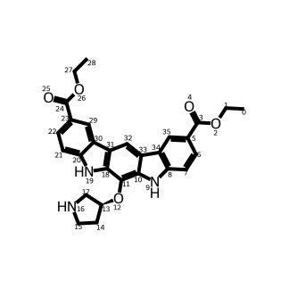 CCOC(=O)c1ccc2[nH]c3c(O[C@H]4CCNC4)c4[nH]c5ccc(C(=O)OCC)cc5c4cc3c2c1